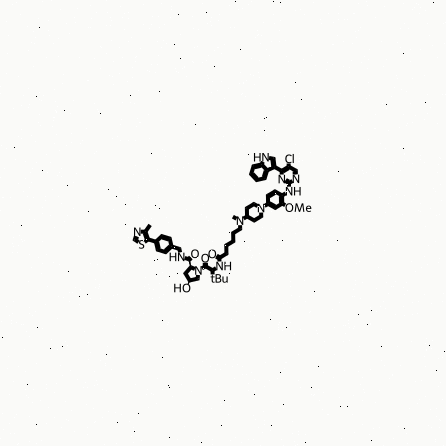 COc1cc(N2CCC(N(C)CCCCCC(=O)NC(C(=O)N3C[C@H](O)C[C@H]3C(=O)NCc3ccc(-c4scnc4C)cc3)C(C)(C)C)CC2)ccc1Nc1ncc(Cl)c(-c2c[nH]c3ccccc23)n1